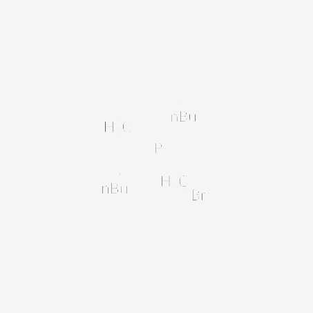 CCCC[P+](C)(C)CCCC.[Br-]